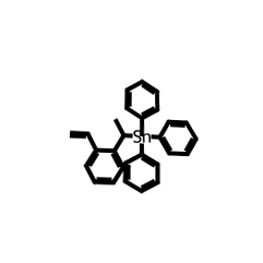 C=Cc1ccccc1[CH](C)[Sn]([c]1ccccc1)([c]1ccccc1)[c]1ccccc1